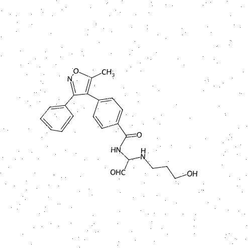 Cc1onc(-c2ccccc2)c1-c1ccc(C(=O)NC(C=O)NCCCO)cc1